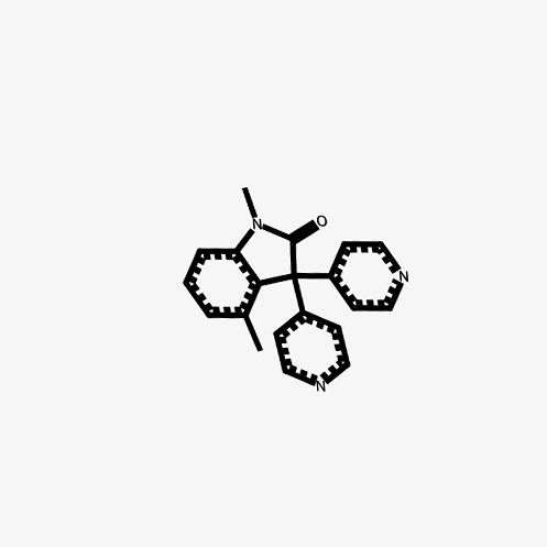 Cc1cccc2c1C(c1ccncc1)(c1ccncc1)C(=O)N2C